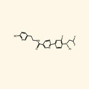 CC(=O)N(CC(F)F)c1ccc(-c2ccc(C(=O)NCCc3ccc(C#N)nc3)cn2)cc1F